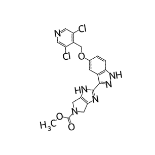 COC(=O)N1Cc2nc(-c3n[nH]c4ccc(OCc5c(Cl)cncc5Cl)cc34)[nH]c2C1